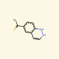 CCC(=S)c1ccc2c(c1)C=CNN2